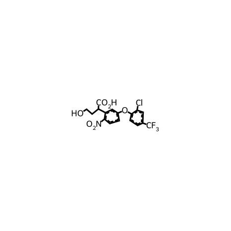 O=C(O)C(CCO)c1cc(Oc2ccc(C(F)(F)F)cc2Cl)ccc1[N+](=O)[O-]